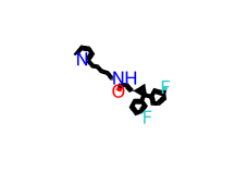 O=C(/C=C/[C@@H]1CC1(c1cccc(F)c1)c1cccc(F)c1)NCCCCCc1ccccn1